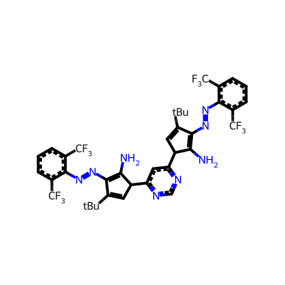 CC(C)(C)C1=CC(c2cc(C3C=C(C(C)(C)C)C(/N=N/c4c(C(F)(F)F)cccc4C(F)(F)F)=C3N)ncn2)C(N)=C1/N=N/c1c(C(F)(F)F)cccc1C(F)(F)F